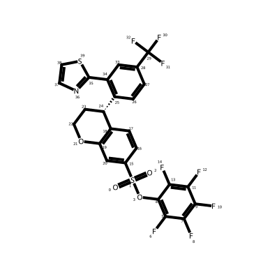 O=S(=O)(Oc1c(F)c(F)c(F)c(F)c1F)c1ccc2c(c1)OCC[C@@H]2c1ccc(C(F)(F)F)cc1-c1nccs1